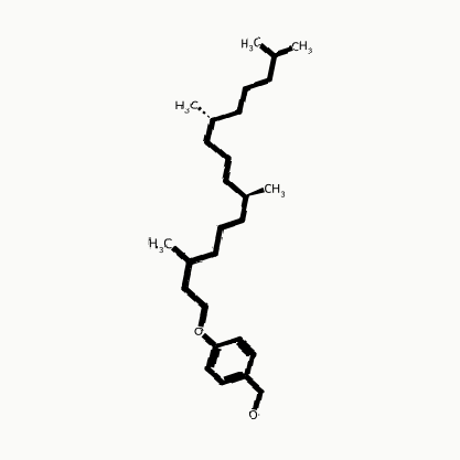 CC(C)CCC[C@@H](C)CCC[C@@H](C)CCCC(C)CCOc1ccc(C[O])cc1